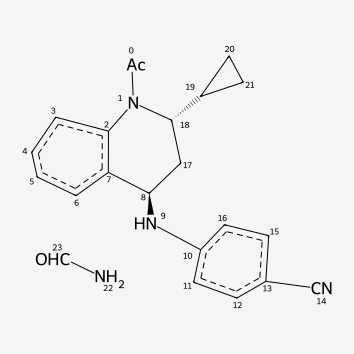 CC(=O)N1c2ccccc2[C@H](Nc2ccc(C#N)cc2)C[C@H]1C1CC1.NC=O